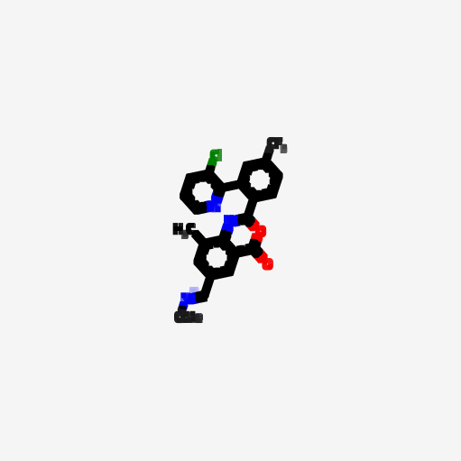 CO/N=C/c1cc(C)c2nc(-c3ccc(C(F)(F)F)cc3-c3ncccc3Cl)oc(=O)c2c1